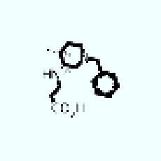 C[C@@H]1CCN(Cc2ccccc2)C[C@@H]1NCCC(=O)O